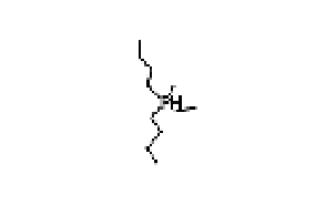 CCCC[PH](C)(CC)CCCC